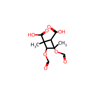 CC1(OC=O)C(OC=O)C(C)(C(=O)O)C1C(=O)O